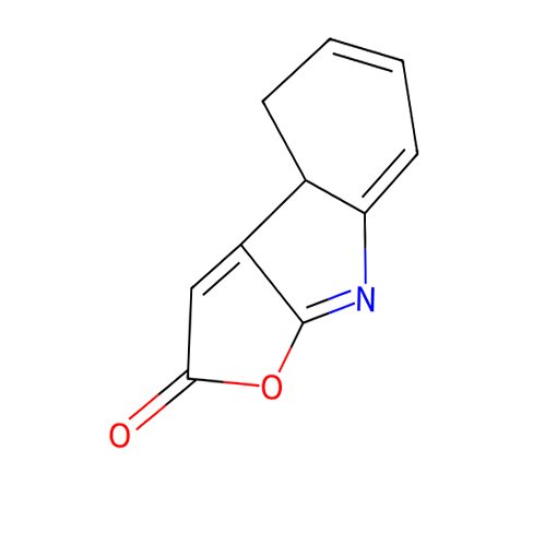 O=C1C=C2C(=NC3=CC=CCC32)O1